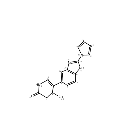 CC1CC(=O)NN=C1c1ccc2[nH]c(-n3ccnc3)nc2c1